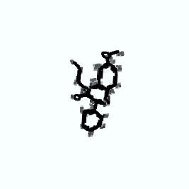 CC=Cn1c(=O)c(-c2ccccc2)nc2ccc(OC)cc21